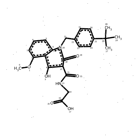 COc1cccc2c1c(O)c(C(=O)NCC(=O)O)c(=O)n2Cc1ccc(C(C)(C)C)cc1